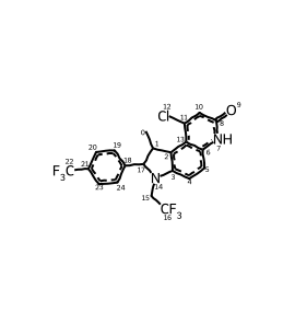 CC1c2c(ccc3[nH]c(=O)cc(Cl)c23)N(CC(F)(F)F)C1c1ccc(C(F)(F)F)cc1